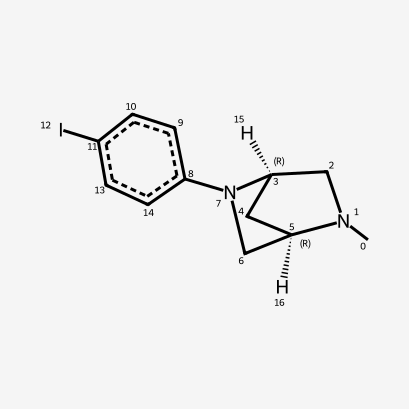 CN1C[C@H]2C[C@@H]1CN2c1ccc(I)cc1